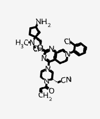 C=CC(=O)N1CCN(c2nc(OCC3(N(C)C)CCC(N)C3)nc3c2CCN(c2ccccc2Cl)C3)C[C@@H]1CC#N